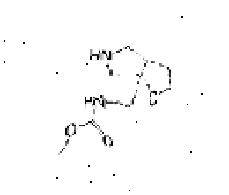 COC(=O)NCC12CNCC1CCO2